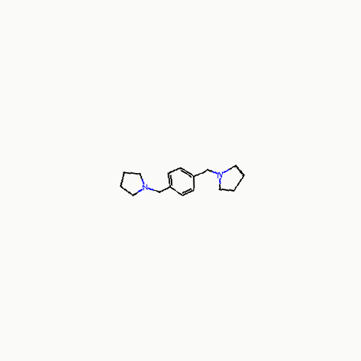 c1cc(CN2CCCC2)ccc1CN1CCCC1